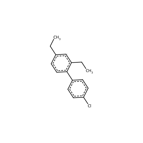 CCc1[c]c(CC)c(-c2ccc(Cl)cc2)cc1